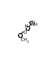 Cc1cccc(COc2ccc(-c3ccn[nH]3)nc2)c1